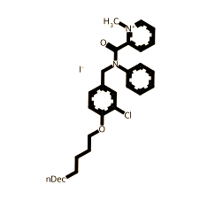 CCCCCCCCCCCCCCOc1ccc(CN(C(=O)c2cccc[n+]2C)c2ccccc2)cc1Cl.[I-]